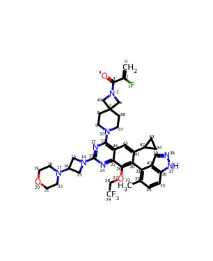 C=C(F)C(=O)N1CC2(CCN(c3nc(N4CC(N5CCOCC5)C4)nc4c(OCC(F)(F)F)c(-c5c(C)ccc6[nH]ncc56)c(C5CC5)cc34)CC2)C1